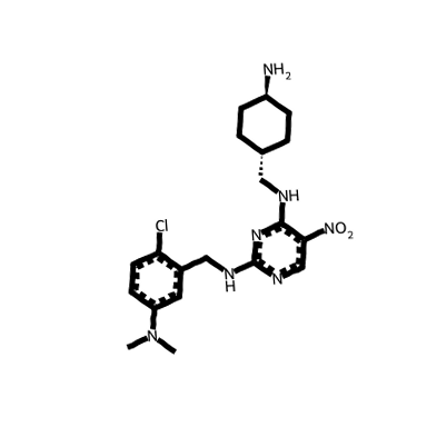 CN(C)c1ccc(Cl)c(CNc2ncc([N+](=O)[O-])c(NC[C@H]3CC[C@H](N)CC3)n2)c1